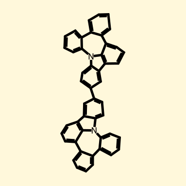 c1ccc2c(c1)-c1ccccc1-n1c3ccc(-c4ccc5c(c4)c4cccc6c4n5-c4ccccc4-c4ccccc4-6)cc3c3cccc-2c31